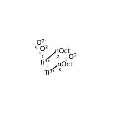 CCCCCCC[CH2][Ti+3].CCCCCCC[CH2][Ti+3].[O-2].[O-2].[O-2]